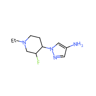 CCN1CCC(n2cc(N)cn2)C(F)C1